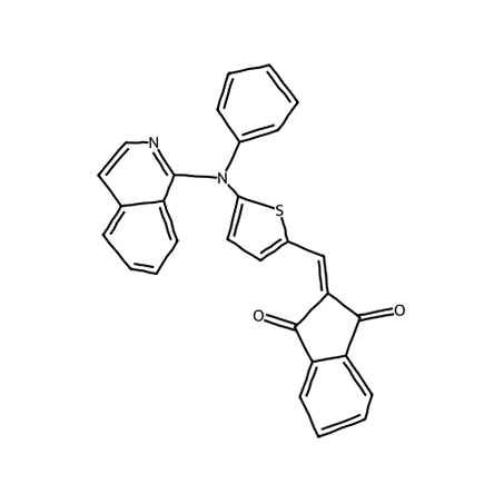 O=C1C(=Cc2ccc(N(c3ccccc3)c3nccc4ccccc34)s2)C(=O)c2ccccc21